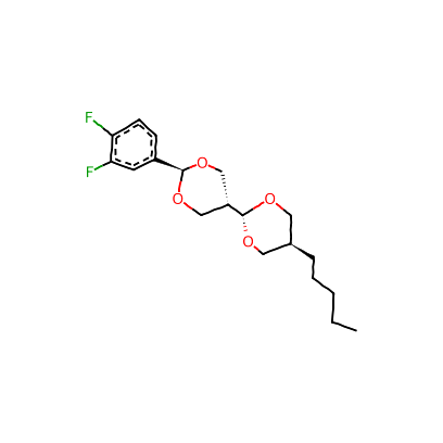 CCCCC[C@H]1CO[C@H]([C@H]2CO[C@H](c3ccc(F)c(F)c3)OC2)OC1